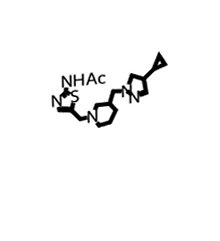 CC(=O)Nc1ncc(CN2CCCC(CN3CC(C4CC4)C=N3)C2)s1